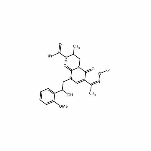 COc1ccccc1C(O)Cn1cc(/C(C)=N\OC(C)C)c(=O)n(CC(C)NC(=O)C(C)C)c1=O